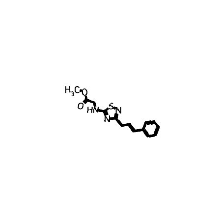 COC(=O)CNc1nc(CC=Cc2ccccc2)ns1